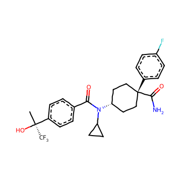 C[C@](O)(c1ccc(C(=O)N(C2CC2)[C@H]2CC[C@](C(N)=O)(c3ccc(F)cc3)CC2)cc1)C(F)(F)F